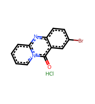 Cl.O=c1c2cc(Br)ccc2nc2ccccn12